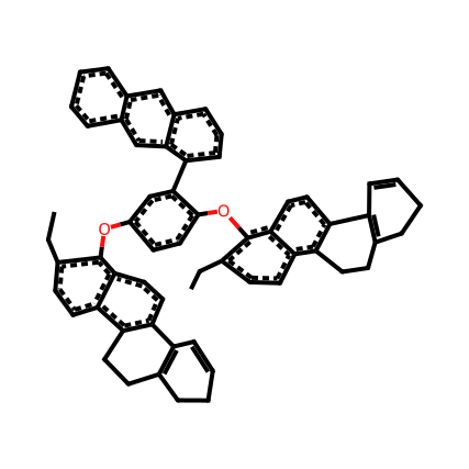 CCc1ccc2c3c(ccc2c1Oc1ccc(Oc2c(CC)ccc4c5c(ccc24)C2=C(CCC=C2)CC5)c(-c2cccc4cc5ccccc5cc24)c1)C1=C(CCC=C1)CC3